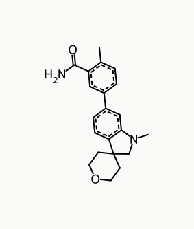 Cc1ccc(-c2ccc3c(c2)N(C)CC32CCOCC2)cc1C(N)=O